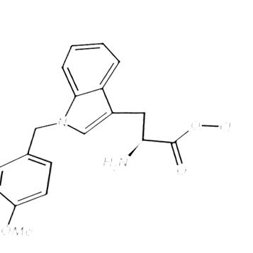 COc1ccc(Cn2cc(C[C@H](N)C(=O)OCl)c3ccccc32)cc1